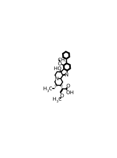 CC[C@@H]1CN2CC[C@@]3(O)C(=Nc4ccc(-c5ccccc5)c(OC)c43)C2C[C@@H]1C(=COC)C(=O)O